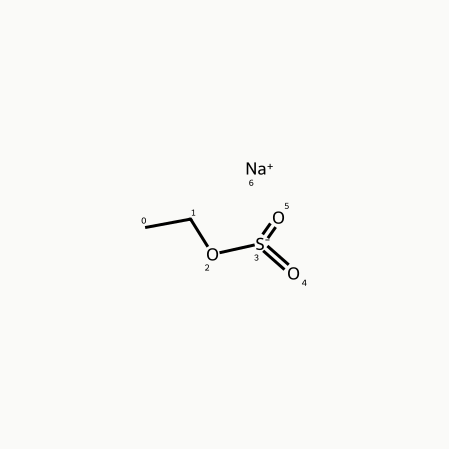 CCO[S-](=O)=O.[Na+]